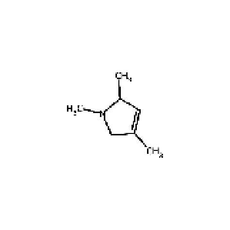 CC1=CC(C)N(C)C1